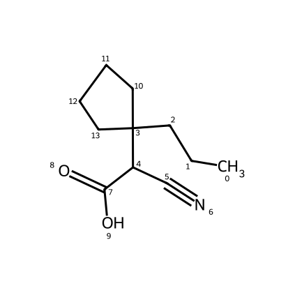 CCCC1(C(C#N)C(=O)O)CCCC1